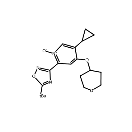 CC(C)(C)c1nc(-c2cc(OC3CCOCC3)c(C3CC3)c[n+]2[O-])no1